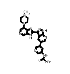 CCCC(=O)Nc1cncc(-c2cnc3[nH]nc(-c4nc5c(N6CCN(C)CC6)cncc5[nH]4)c3c2)c1